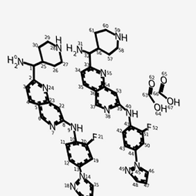 NC(c1ccc2cnc(Nc3ccc(-n4cccn4)cc3F)cc2n1)C1CCNCC1.NC(c1ccc2cnc(Nc3ccc(-n4cccn4)cc3F)cc2n1)C1CCNCC1.O=CO.O=CO